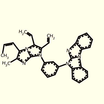 C=Cc1c(C=C)n2c(/C=C\C)c(C)nc2n1-c1cccc(-n2c3ccccc3n3c4ccccc4nc23)c1